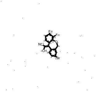 CC(C#N)=C1c2ccc(Br)cc2COc2c1ccc(F)c2F